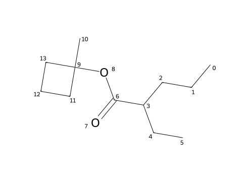 CCCC(CC)C(=O)OC1(C)CCC1